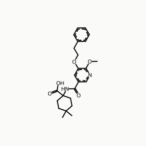 COc1ncc(C(=O)NC2(C(=O)O)CCC(C)(C)CC2)cc1OCCc1ccccc1